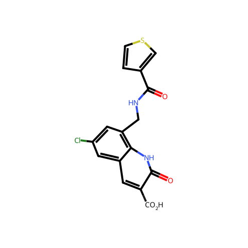 O=C(NCc1cc(Cl)cc2cc(C(=O)O)c(=O)[nH]c12)c1ccsc1